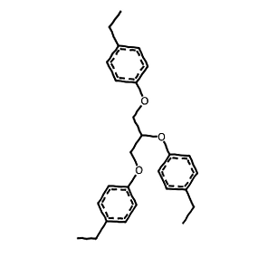 CCc1ccc(OCC(COc2ccc(CC)cc2)Oc2ccc(CC)cc2)cc1